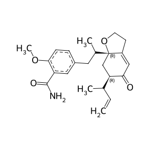 C=CC(C)[C@H]1C[C@]2(C(C)Cc3ccc(OC)c(C(N)=O)c3)OCCC2=CC1=O